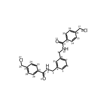 O=C(NCc1cccc(CNC(=O)c2ccc(CCl)cc2)c1)c1ccc(CCl)cc1